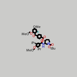 COCOc1cc(OC)cc(F)c1C(=O)c1ccc(C(=O)O[C@@H]2CCCN(C(=O)OC(C)(C)C)C[C@H]2NC(=O)c2cc(C(C)C)c(OCOC)c(C(C)C)c2)cc1